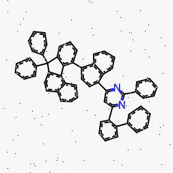 c1ccc(-c2nc(-c3ccccc3-c3ccccc3)cc(-c3ccc(-c4cccc5c4-c4c(ccc6ccccc46)C5(c4ccccc4)c4ccccc4)c4ccccc34)n2)cc1